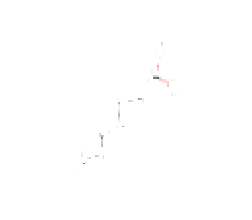 CCCCCCCOC([O])=O